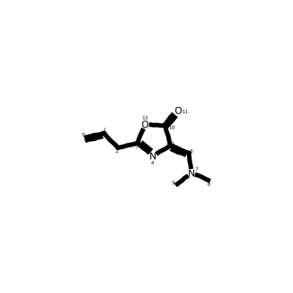 C=CCC1=NC(=CN(C)C)C(=O)O1